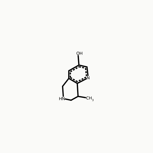 CC1CNCc2cc(O)cnc21